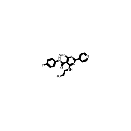 CSc1nc(-c2ccncc2)nc(NCCO)c1C(=O)Nc1ccc(F)cc1